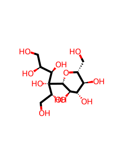 OC[C@@H](O)[C@@](O)([C@H](O)[C@@H](O)CO)[C@@H]1O[C@H](CO)[C@@H](O)[C@H](O)[C@H]1O